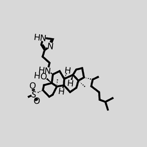 CC(C)CCCC(C)[C@H]1CC[C@H]2[C@@H]3C[C@@H](NCCc4c[nH]cn4)[C@@]4(O)C[C@@H](S(C)(=O)=O)CC[C@]4(C)[C@H]3CC[C@]12C